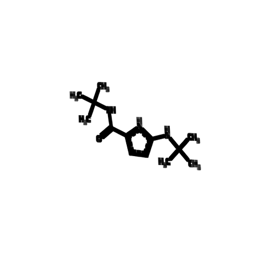 CC(C)(C)NC(=O)c1ccc(NC(C)(C)C)[nH]1